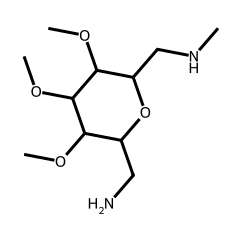 CNCC1OC(CN)C(OC)C(OC)C1OC